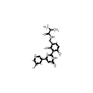 CC(C)C(=O)NCc1ccc(Cl)c(-c2nc(-c3cncc(F)c3)cc(=O)[nH]2)c1F